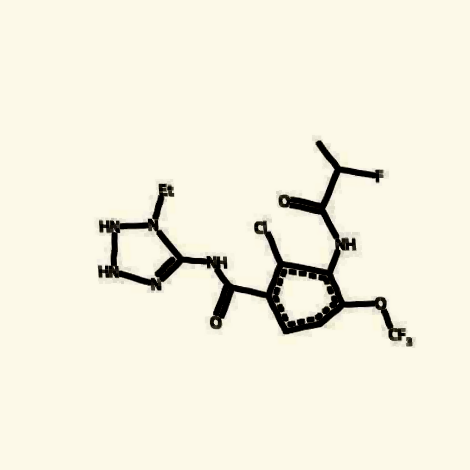 CCN1NNN=C1NC(=O)c1ccc(OC(F)(F)F)c(NC(=O)C(C)F)c1Cl